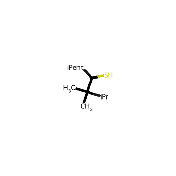 CCCC(C)C(S)C(C)(C)C(C)C